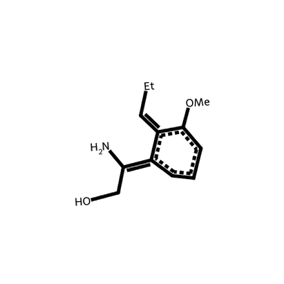 CC/C=c1\c(OC)ccc\c1=C(\N)CO